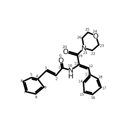 O=C(/C=C/c1ccccc1)N/C(=C\c1ccccc1)C(=O)N1CCOCC1